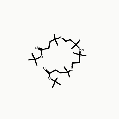 CC(C)(CCOC(C)(C)CCC(=O)OC(C)(C)C)NC(C)(C)CCOC(C)(C)CCC(=O)OC(C)(C)C